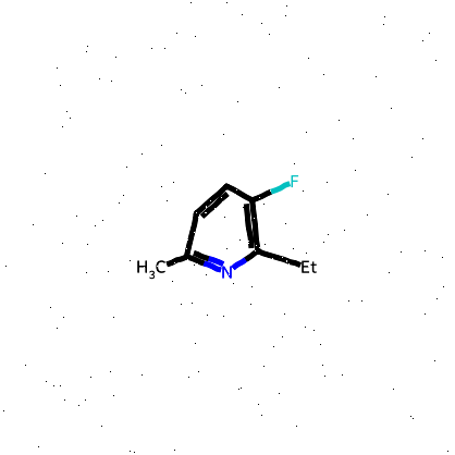 CCc1nc(C)ccc1F